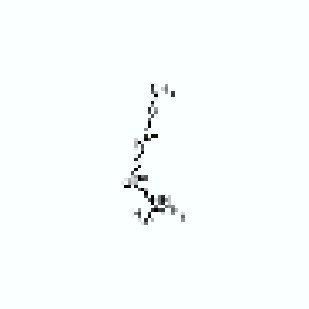 CCCOCCCC(=O)NCCCCS(=O)(=O)CCCNC(C)C